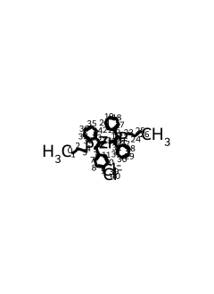 CCCCp1c(-c2ccccc2)[c]([Zr+2][c]2c(-c3ccccc3)p(CCCC)c3ccccc23)c2ccccc21.[Cl-].[Cl-]